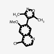 COc1cc2c(Cl)ccnc2cc1-c1c(C)noc1C